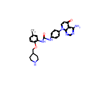 Nc1ncnc2c1c(=O)ccn2-c1ccc(NC(=O)Nc2cc(C(F)(F)F)ccc2OCC2CCNCC2)cc1